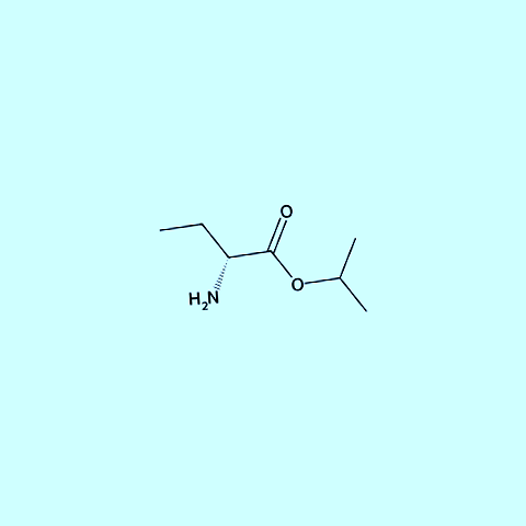 CC[C@@H](N)C(=O)OC(C)C